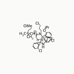 CC(C)Oc1ccc(F)c(F)c1[C@@H]1N(CCCCl)C(=O)C[C@@H](c2cccc(Cl)c2)[C@]12C(=O)Nc1cc(Cl)ccc12.COCC[Si](C)(C)C